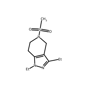 CCc1nn(CC)c2c1CN(S(C)(=O)=O)CC2